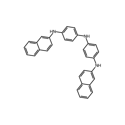 c1ccc2cc(Nc3ccc(Nc4ccc(Nc5ccc6ccccc6c5)cc4)cc3)ccc2c1